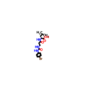 CC(C)C[C@H](NC(=O)CCNC(=O)Nc1ccc(Br)cc1)C(=O)O